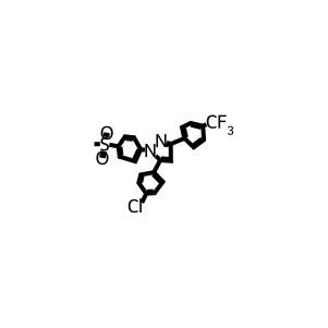 CS(=O)(=O)c1ccc(-n2nc(-c3ccc(C(F)(F)F)cc3)cc2-c2ccc(Cl)cc2)cc1